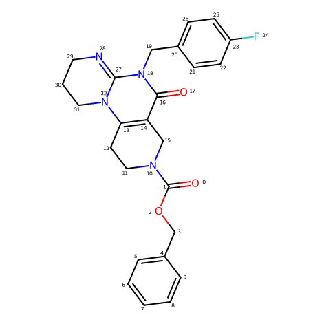 O=C(OCc1ccccc1)N1CCC2=C(C1)C(=O)N(Cc1ccc(F)cc1)C1=NCCCN12